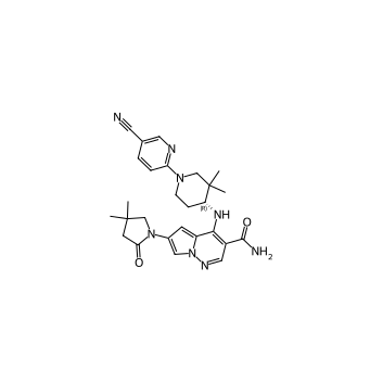 CC1(C)CC(=O)N(c2cc3c(N[C@@H]4CCN(c5ccc(C#N)cn5)CC4(C)C)c(C(N)=O)cnn3c2)C1